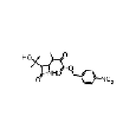 CC(C(=O)C(=O)OCc1ccc([N+](=O)[O-])cc1)C1NC(=O)C1C(C)(C)O